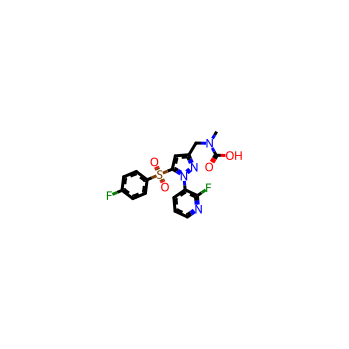 CN(Cc1cc(S(=O)(=O)c2ccc(F)cc2)n(-c2cccnc2F)n1)C(=O)O